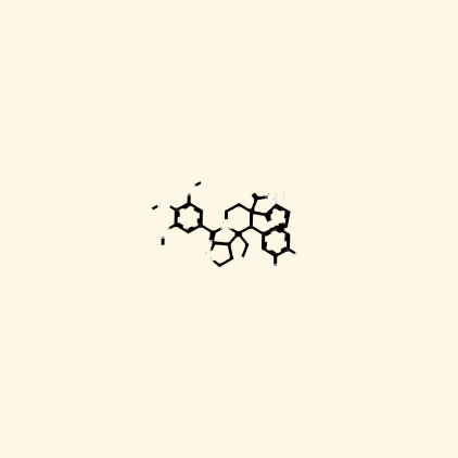 CCC1(C2CCNC2)C(c2ccc(Cl)c(Cl)c2)C(C(N)=O)(c2cccs2)CCN1C(=O)c1cc(OC)c(OC)c(OC)c1